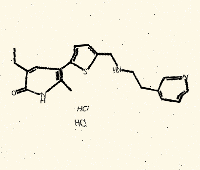 CCc1cc(-c2ccc(CNCCc3cccnc3)s2)c(C)[nH]c1=O.Cl.Cl